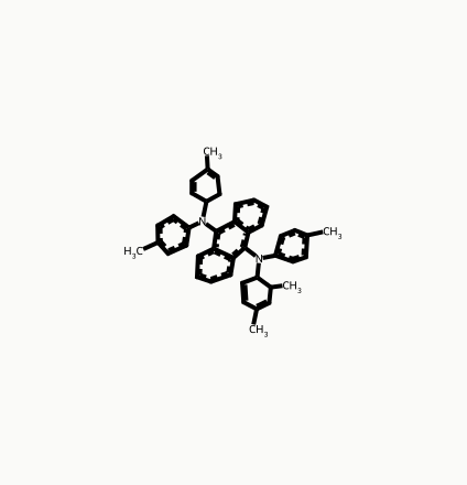 CC1=CCC(N(c2ccc(C)cc2)c2c3ccccc3c(N(c3ccc(C)cc3)C3C=CC(C)=CC3C)c3ccccc23)C=C1